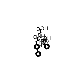 O=C(O)CCNC(=O)C(Cc1ccc(-c2ccccc2)cc1)NCP(=O)(O)Oc1ccccc1